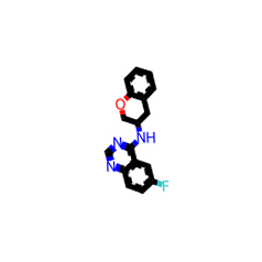 Fc1ccc2ncnc(NC3COc4ccccc4C3)c2c1